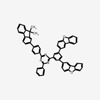 CC1(C)c2ccccc2-c2ccc(-c3ccc(-c4nc(-c5ccccc5)nc(-c5cc(-c6ccc7oc8ccccc8c7c6)cc(-c6ccc7oc8ccccc8c7c6)c5)n4)cc3)cc21